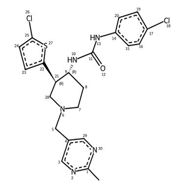 Cc1ncc(CN2CC[C@@H](NC(=O)Nc3ccc(Cl)cc3)[C@H](c3ccc(Cl)s3)C2)cn1